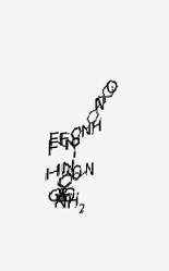 N#CCOc1cc(S(N)(=O)=O)ccc1NCC#Cc1cc2c(NC3CCC(N4CC5(CCOCC5)C4)CC3)cccc2n1CC(F)(F)F